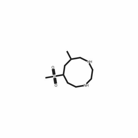 CC1CNCCNCCC(S(C)(=O)=O)C1